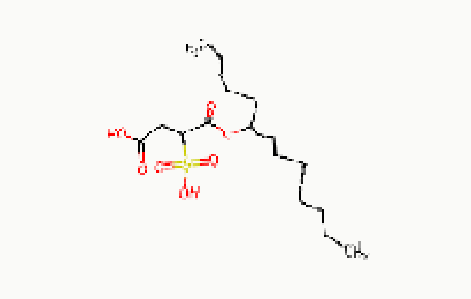 CCCCCCCC(CCCC)OC(=O)C(CC(=O)O)S(=O)(=O)O